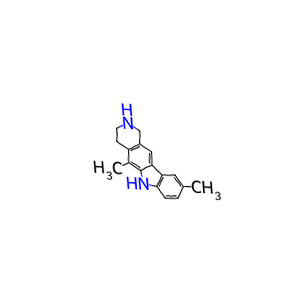 Cc1ccc2[nH]c3c(C)c4c(cc3c2c1)CNCC4